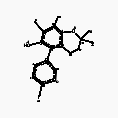 Cc1c(C)c2c(c(-c3ccc(F)cc3)c1O)CCC(C)(C)O2